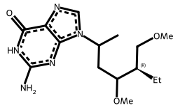 CC[C@H](COC)C(CC(C)n1cnc2c(=O)[nH]c(N)nc21)OC